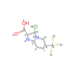 O=C(O)c1nc2ccc(C(F)(F)F)cn2c1Cl